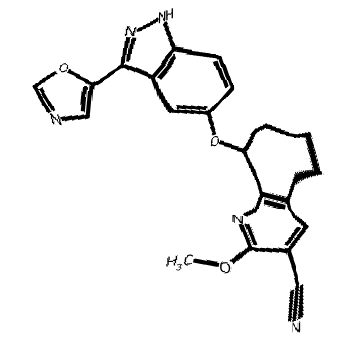 COc1nc2c(cc1C#N)CCCC2Oc1ccc2[nH]nc(-c3cnco3)c2c1